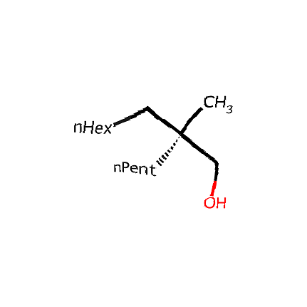 CCCCCCC[C@@](C)(CO)CCCCC